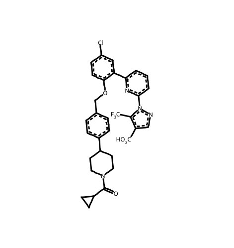 O=C(O)c1cnn(-c2cccc(-c3cc(Cl)ccc3OCc3ccc(C4CCN(C(=O)C5CC5)CC4)cc3)n2)c1C(F)(F)F